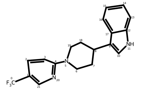 FC(F)(F)c1ccc(N2CCC(c3c[nH]c4ccccc34)CC2)nc1